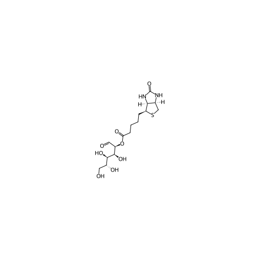 O=C[C@@H](OC(=O)CCCC[C@@H]1SC[C@@H]2NC(=O)N[C@@H]21)[C@@H](O)[C@H](O)[C@H](O)CO